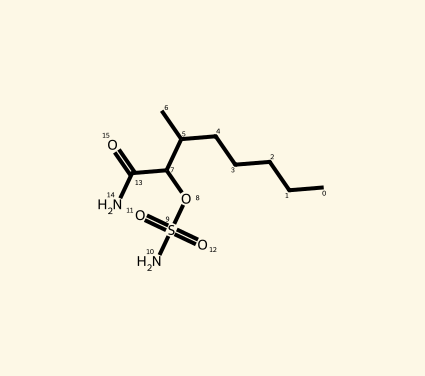 CCCCCC(C)C(OS(N)(=O)=O)C(N)=O